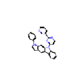 c1ccc(-n2ccc3cc4c5ccccc5n(-c5ccnc(-c6cccnc6)n5)c4cc32)cc1